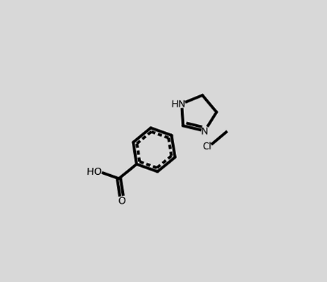 C1=NCCN1.CCl.O=C(O)c1ccccc1